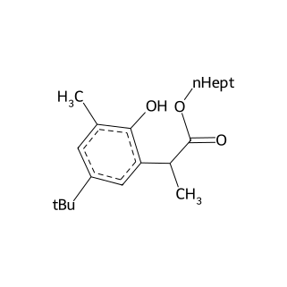 CCCCCCCOC(=O)C(C)c1cc(C(C)(C)C)cc(C)c1O